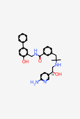 CC(C)(Cc1cccc(C(=O)NCc2cc(-c3ccccc3)ccc2O)c1)NC[C@@H](O)c1ccc(N)nc1